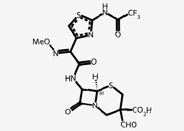 CON=C(C(=O)NC1C(=O)N2CC(C=O)(C(=O)O)CS[C@H]12)c1csc(NC(=O)C(F)(F)F)n1